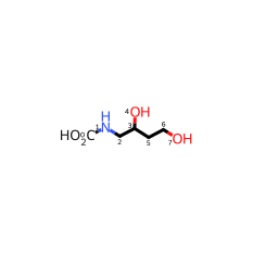 O=C(O)NCC(O)CCO